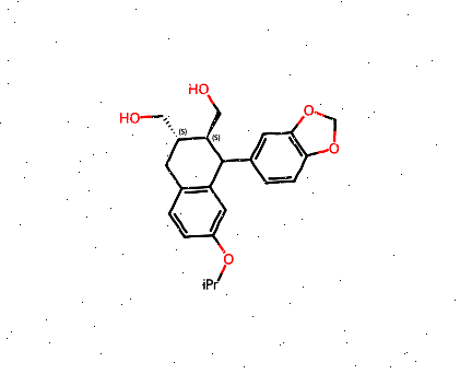 CC(C)Oc1ccc2c(c1)C(c1ccc3c(c1)OCO3)[C@H](CO)[C@@H](CO)C2